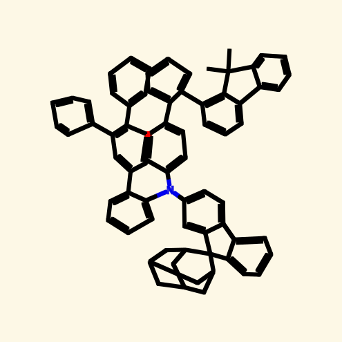 CC1(C)c2ccccc2-c2cccc(-c3ccccc3-c3ccc(N(c4ccc5c(c4)C4(c6ccccc6-5)C5CC6CC(C5)CC4C6)c4ccccc4-c4ccc(-c5ccccc5)c(-c5ccccc5)c4)cc3)c21